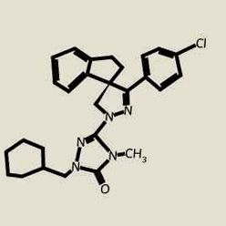 Cn1c(N2C[C@@]3(CCc4ccccc43)C(c3ccc(Cl)cc3)=N2)nn(CC2CCCCC2)c1=O